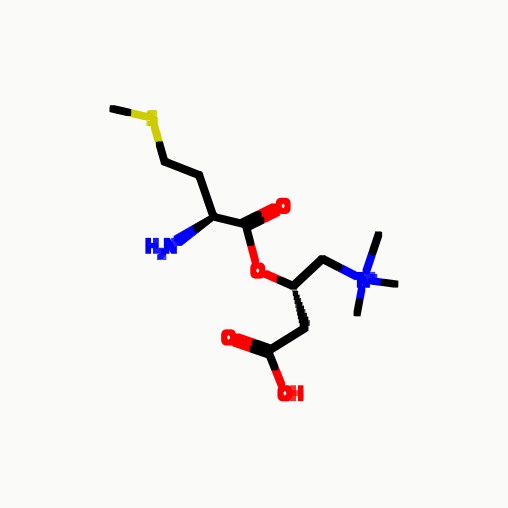 CSCC[C@H](N)C(=O)O[C@@H](CC(=O)O)C[N+](C)(C)C